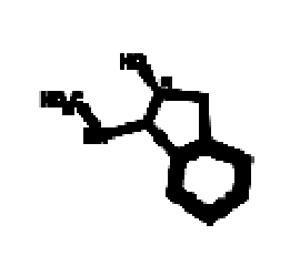 O=C(O)NC1c2ccccc2C[C@@H]1O